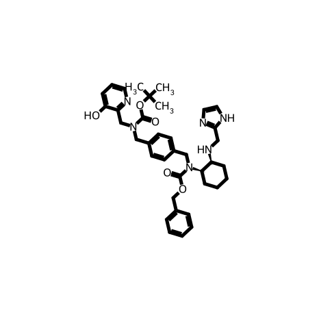 CC(C)(C)OC(=O)N(Cc1ccc(CN(C(=O)OCc2ccccc2)[C@@H]2CCCC[C@@H]2NCc2ncc[nH]2)cc1)Cc1ncccc1O